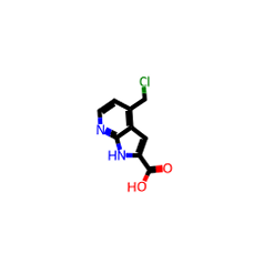 O=C(O)c1cc2c(CCl)ccnc2[nH]1